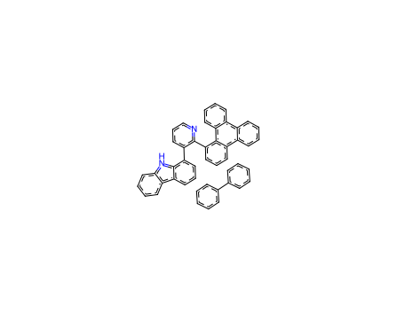 c1ccc(-c2ccccc2)cc1.c1cnc(-c2cccc3c4ccccc4c4ccccc4c23)c(-c2cccc3c2[nH]c2ccccc23)c1